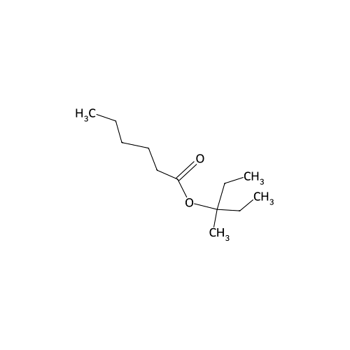 CCCCCC(=O)OC(C)(CC)CC